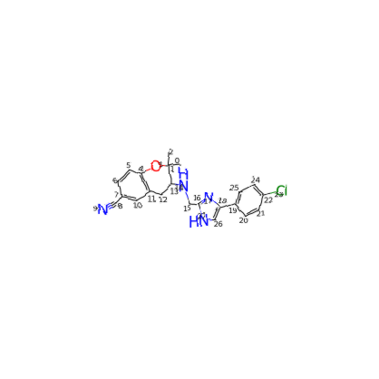 CC1(C)Oc2ccc(C#N)cc2CC1NCc1nc(-c2ccc(Cl)cc2)c[nH]1